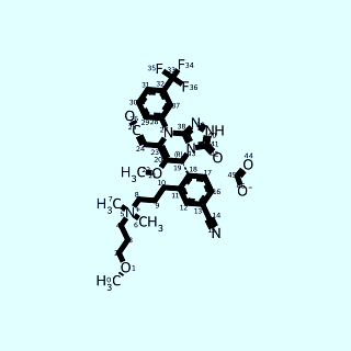 COCCC[N+](C)(C)CCCc1cc(C#N)ccc1[C@@H]1C(OC)=C(C=C=O)N(c2cccc(C(F)(F)F)c2)c2n[nH]c(=O)n21.O=C[O-]